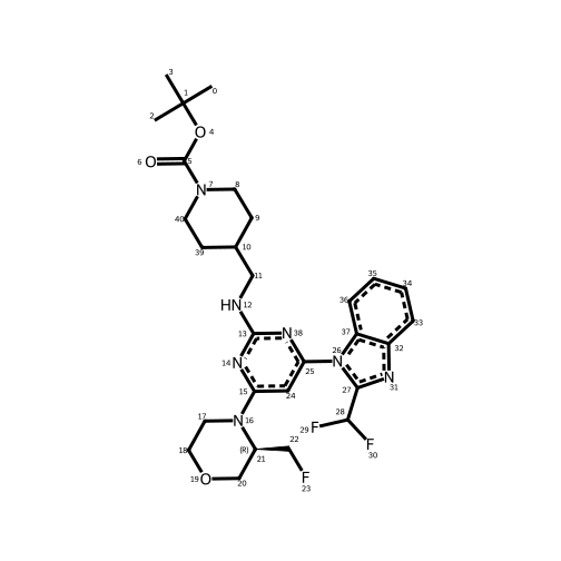 CC(C)(C)OC(=O)N1CCC(CNc2nc(N3CCOC[C@@H]3CF)cc(-n3c(C(F)F)nc4ccccc43)n2)CC1